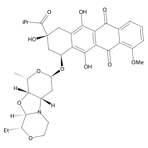 CC[C@H]1OCCN2[C@@H]1O[C@@H]1[C@H](C)O[C@@H](O[C@H]3C[C@](O)(C(=O)C(C)C)Cc4c(O)c5c(c(O)c43)C(=O)c3c(OC)cccc3C5=O)C[C@@H]12